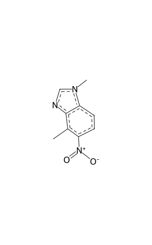 Cc1c([N+](=O)[O-])ccc2c1ncn2C